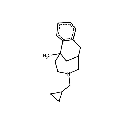 CC12CCN(CC3CC3)CC(Cc3ccccc31)C2